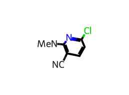 CNc1nc(Cl)ccc1C#N